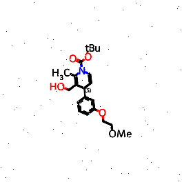 COCCOc1cccc([C@@H]2C=CN(C(=O)OC(C)(C)C)C(C)=C2CO)c1